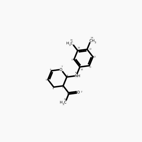 CC(=O)C1CC=COC1Nc1ccc(C)c(C)c1